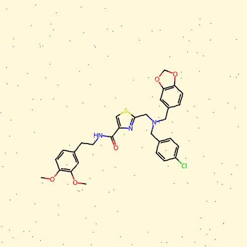 COc1ccc(CCNC(=O)c2csc(CN(Cc3ccc(Cl)cc3)Cc3ccc4c(c3)OCO4)n2)cc1OC